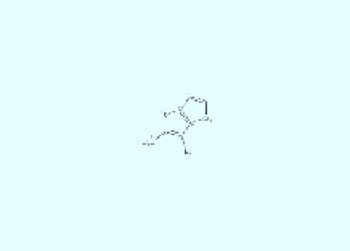 CCc1c(C(=O)O)sc2ccsc12